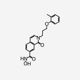 Cc1ccccc1OCCCn1ccc2ccc(C(=O)NO)cc2c1=O